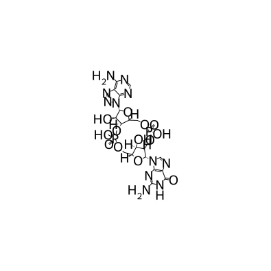 Nc1nc2c(ncn2[C@@H]2O[C@@H]3COP(=O)(O)O[C@H]4[C@@H](O)[C@H](n5nnc6c(N)ncnc65)O[C@@H]4COP(=O)(O)O[C@@H]2[C@@H]3O)c(=O)[nH]1